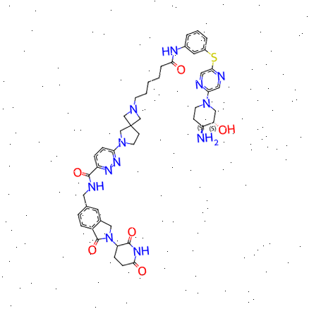 N[C@H]1CCN(c2cnc(Sc3cccc(NC(=O)CCCCCN4CC5(CCN(c6ccc(C(=O)NCc7ccc8c(c7)CN(C7CCC(=O)NC7=O)C8=O)nn6)C5)C4)c3)cn2)C[C@@H]1O